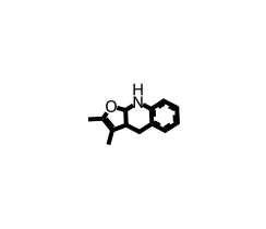 CC1=C(C)C2Cc3ccccc3NC2O1